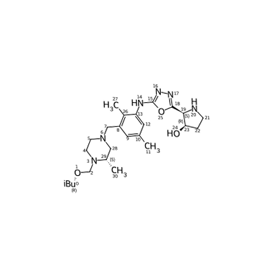 CC[C@@H](C)OCN1CCN(Cc2cc(C)cc(Nc3nnc([C@H]4NCC[C@H]4O)o3)c2C)C[C@@H]1C